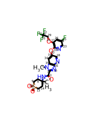 Cn1c(C(=O)NC2(C)CCS(=O)(=O)CC2)nc2ncc(Oc3ncc(F)cc3OCC(F)(F)F)cc21